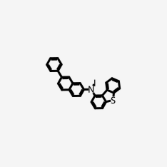 IN(c1ccc2ccc(-c3ccccc3)cc2c1)c1cccc2sc3ccccc3c12